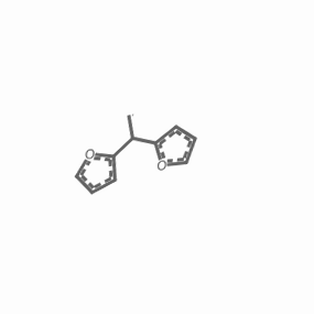 [CH2]C(c1ccco1)c1ccco1